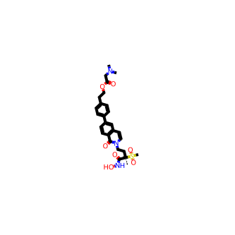 CN(C)CC(=O)OCCc1ccc(-c2ccc3c(=O)n(CC[C@](C)(C(=O)NO)S(C)(=O)=O)ccc3c2)cc1